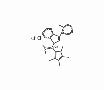 CC1=C(C)C(C)[C]([Zr+2]([CH]2C=C(c3ccccc3C)c3ccccc32)=[Si](C)C)=C1C.[Cl-].[Cl-]